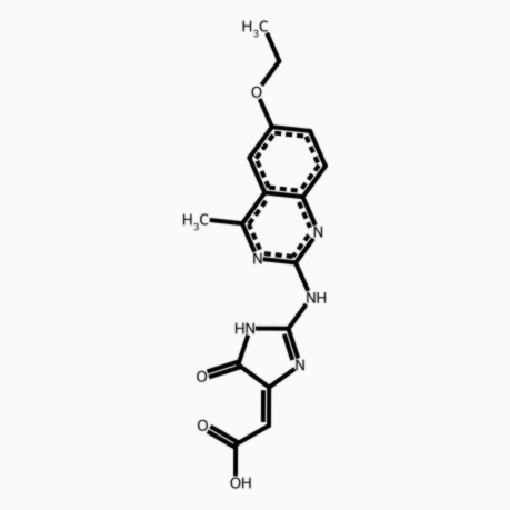 CCOc1ccc2nc(NC3=N/C(=C/C(=O)O)C(=O)N3)nc(C)c2c1